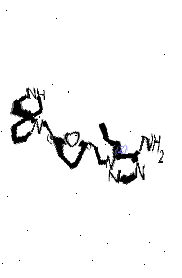 C=C/C=C1/C(N)=NC=NN1CC[C@H]1CC[C@@H](CN2CCCC23CCNCC3)O1